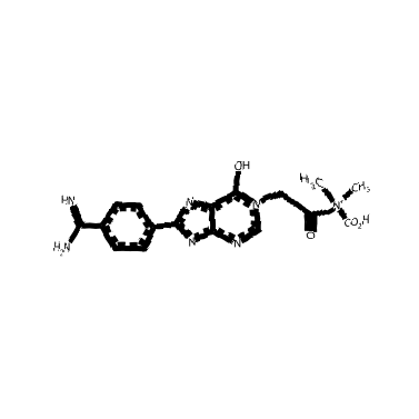 C[N+](C)(C(=O)O)C(=O)Cn1cnc2nc(-c3ccc(C(=N)N)cc3)nc-2c1O